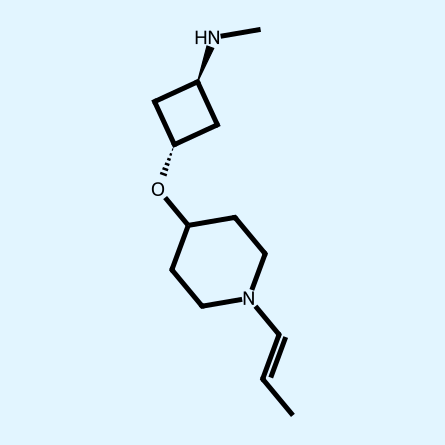 C/C=C/N1CCC(O[C@H]2C[C@H](NC)C2)CC1